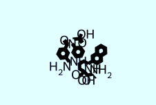 C[C@H](N)C(=O)C1(C(=O)O)CCCC(c2ccc3ccccc3c2)N1.N=C(N)c1cccc(C(=O)N(CC(=O)O)c2ccccc2)c1